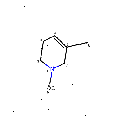 CC(=O)N1[CH]CC=C(C)C1